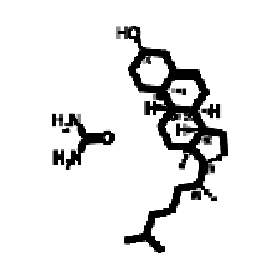 CC(C)CCC[C@@H](C)[C@H]1CC[C@H]2[C@@H]3CC=C4C[C@@H](O)CC[C@]4(C)[C@H]3CC[C@]12C.NC(N)=O